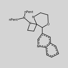 CCCCCN(CCCCC)N1CCC12[N]CCOC2c1cnc2ccccc2c1